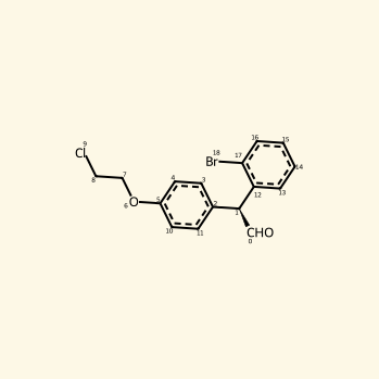 O=C[C@@H](c1ccc(OCCCl)cc1)c1ccccc1Br